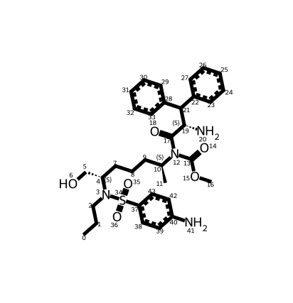 CCCN([C@H](CO)CCC[C@H](C)N(C(=O)OC)C(=O)[C@@H](N)C(c1ccccc1)c1ccccc1)S(=O)(=O)c1ccc(N)cc1